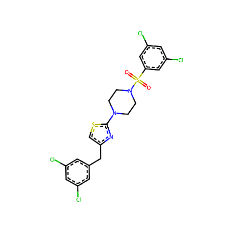 O=S(=O)(c1cc(Cl)cc(Cl)c1)N1CCN(c2nc(Cc3cc(Cl)cc(Cl)c3)cs2)CC1